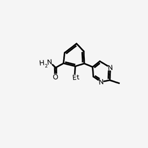 CCc1c(C(N)=O)cccc1-c1cnc(C)nc1